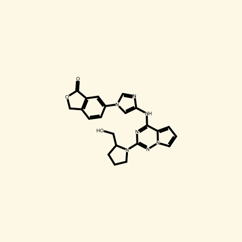 O=C1OCc2ccc(-n3cnc(Nc4nc(N5CCCC5CO)nn5cccc45)c3)cc21